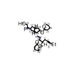 CCC#CCC(C)[C@@H](/C=C/[C@@H]1[C@H]2C/C(=C(\F)CO)C[C@H]2C[C@H]1OC1CCCCO1)OC1CCCCO1